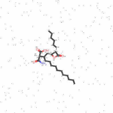 CCCCCCCCCCCC(C[C@@H]1OC(=O)[C@H]1CCCCCC)[C@@](C)(C(N)=O)C(=O)O